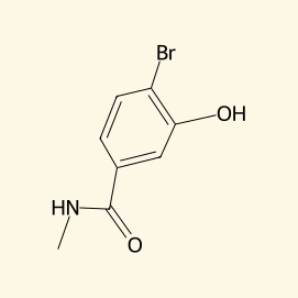 CNC(=O)c1ccc(Br)c(O)c1